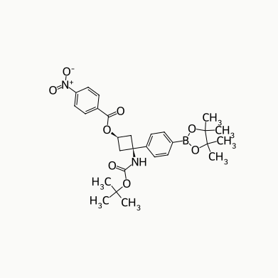 CC(C)(C)OC(=O)N[C@]1(c2ccc(B3OC(C)(C)C(C)(C)O3)cc2)C[C@H](OC(=O)c2ccc([N+](=O)[O-])cc2)C1